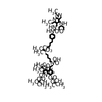 CCc1nc2c(cnn2CC)c(NC2CCOCC2)c1CNC(=O)Nc1ccc(CCCCO[C@H](CCCCCN(CC(O[Si](C)(C)C(C)(C)C)c2ccc(OC(=O)OC(C)(C)C)c3nc(OC(=O)OC(C)(C)C)ccc23)C(=O)O)C(C)(C)C)cc1